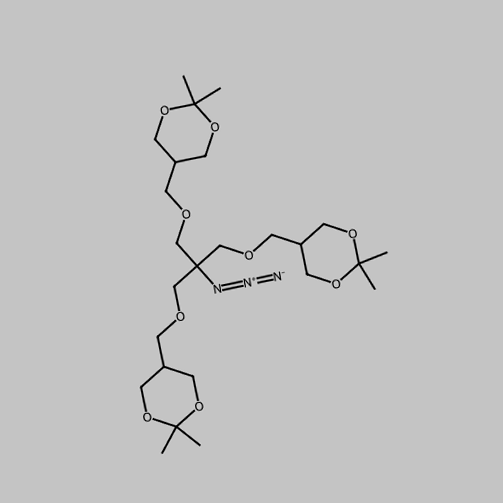 CC1(C)OCC(COCC(COCC2COC(C)(C)OC2)(COCC2COC(C)(C)OC2)N=[N+]=[N-])CO1